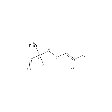 C=CC(C)(CCC=C(C)C)OCC(C)C